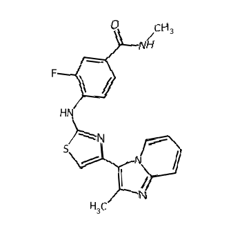 CNC(=O)c1ccc(Nc2nc(-c3c(C)nc4ccccn34)cs2)c(F)c1